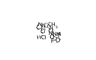 CC1=C(c2cnc(NC(=O)c3c(F)cccc3F)cn2)CN(c2ncccc2Cl)CC1.Cl